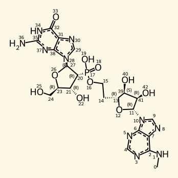 CNc1ncnc2c1ncn2[C@@H]1O[C@H](CCOP(=O)(O)[C@@H]2[C@H](O)[C@@H](CO)O[C@H]2n2cnc3c(=O)[nH]c(N)nc32)[C@@H](O)[C@H]1O